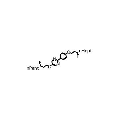 CCCCCCC[C@H](F)CCOc1ccc(-c2ncc(OCC[C@@H](F)CCCCC)cn2)cc1